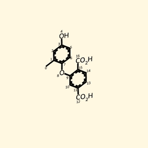 Cc1cc(O)ccc1Oc1cc(C(=O)O)ccc1C(=O)O